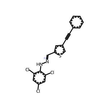 Clc1cc(Cl)c(N/N=C/c2cc(C#Cc3ccccc3)cs2)c(Cl)c1